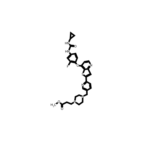 COC(=O)CCN1CCN(Cc2ccc(-c3cc4nccc(Oc5ccc(NC(=O)NC6CC6)cc5F)c4s3)nc2)CC1